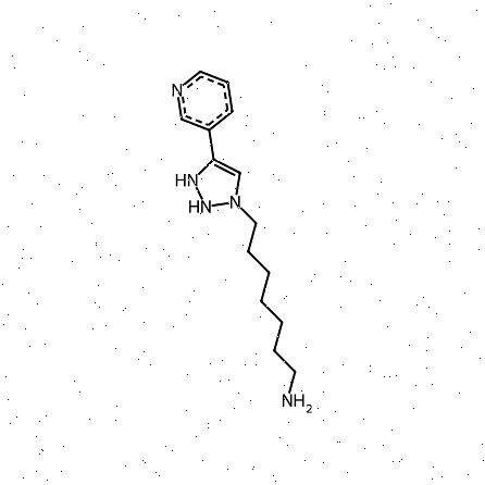 NCCCCCCCN1C=C(c2cccnc2)NN1